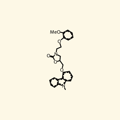 COc1ccccc1OCCN1CC(COc2cccc3c2c2ccccc2n3C)OC1=O